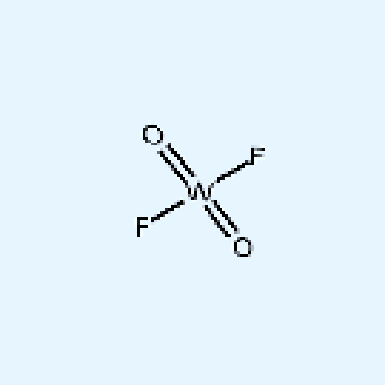 [O]=[W](=[O])([F])[F]